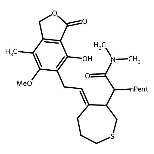 CCCCCC(C(=O)N(C)C)C1CSCCC/C1=C\Cc1c(O)c2c(c(C)c1OC)COC2=O